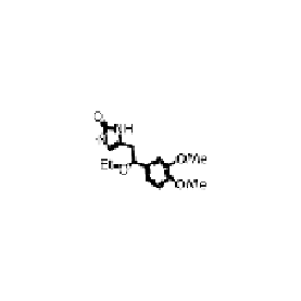 CCOC(CC1=C[N]C(=O)N1)c1ccc(OC)c(OC)c1